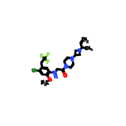 C=CC(C)N1CC(N2CCN(C(=O)CNc3cc(CC(F)(F)F)c(Cl)cc3OC)CC2)C1